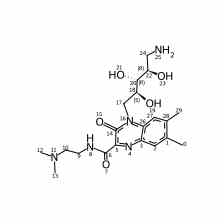 Cc1cc2nc(C(=O)NCCN(C)C)c(=O)n(C[C@H](O)[C@H](O)[C@H](O)CN)c2cc1C